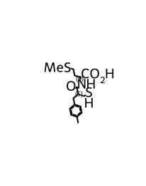 CSCC[C@H](NC(=O)[C@@H](CS)Cc1ccc(C)cc1)C(=O)O